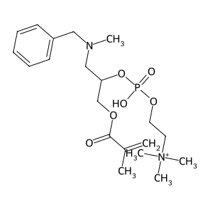 C=C(C)C(=O)OCC(CN(C)Cc1ccccc1)OP(=O)(O)OCC[N+](C)(C)C